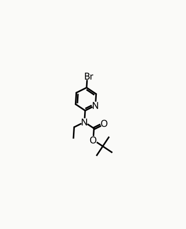 CCN(C(=O)OC(C)(C)C)c1ccc(Br)cn1